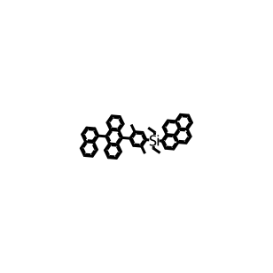 CC[Si](CC)(c1cc(C)c(-c2c3ccccc3c(-c3cccc4ccccc34)c3ccccc23)cc1C)c1ccc2ccc3cccc4ccc1c2c34